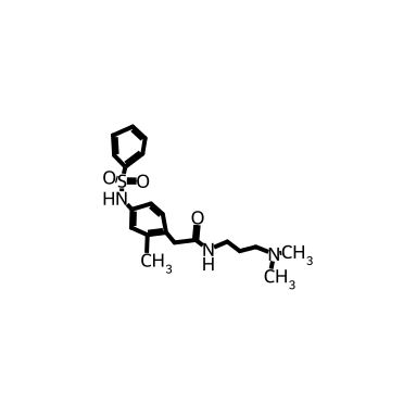 Cc1cc(NS(=O)(=O)c2ccccc2)ccc1CC(=O)NCCCN(C)C